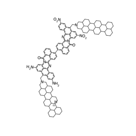 Nc1ccc2c(c1)c(CN1CC3CCC4C5CCC6C7CCCC8CCCC(C87)[C@@H]7CCC(C8CCC(C1)C3C48)C5C67)c1cc(N)cc3c1c2nc1c2ccc(-c4ccc5c6c4cccc6c(=O)n4c6cc([N+](=O)[O-])cc7c(CN8CC9CCC%10C%11CCC%12C%13CCCC%14CCCC(C%15CCC(C%16CCC(C8)C9C%10%16)C%11C%12%15)C%14%13)c8cc([N+](=O)[O-])ccc8c(nc54)c76)c4cccc(c(=O)n31)c42